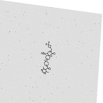 CCCCC1CN(CC2CC(F)(F)C2)C(=O)OC12CCN(C1(C)CCN(C(=O)c3c(C)ncnc3C)CC1)CC2